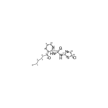 CCCCCC(=O)c1cccnc1NC(=O)Nc1ncc(Cl)s1